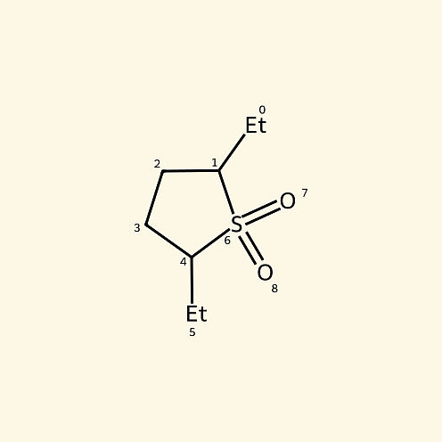 CCC1CCC(CC)S1(=O)=O